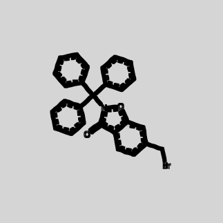 O=c1c2ccc(CBr)cc2on1C(c1ccccc1)(c1ccccc1)c1ccccc1